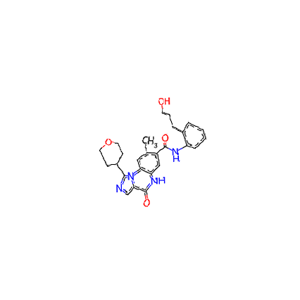 Cc1cc2c(cc1C(=O)Nc1ccccc1CCCO)[nH]c(=O)c1cnc(C3CCOCC3)n12